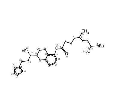 CCCCC(C)CCC(C)CCCC(=O)Oc1cccc2c1CCC(N(CCC)CCc1cccs1)C2